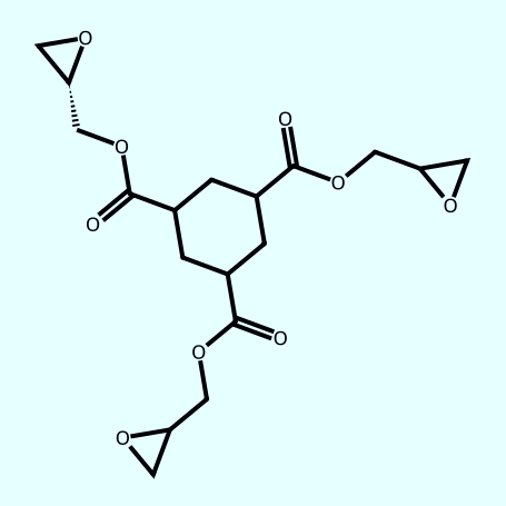 O=C(OCC1CO1)C1CC(C(=O)OCC2CO2)CC(C(=O)OC[C@@H]2CO2)C1